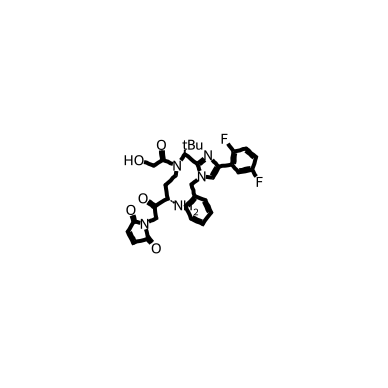 CC(C)(C)[C@H](c1nc(-c2cc(F)ccc2F)cn1Cc1ccccc1)N(CC[C@H](N)C(=O)CN1C(=O)C=CC1=O)C(=O)CO